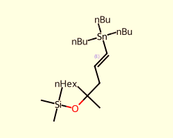 CCCCCCC(C)(C/C=[CH]/[Sn]([CH2]CCC)([CH2]CCC)[CH2]CCC)O[Si](C)(C)C